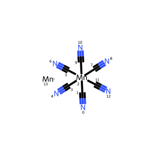 N#[C][Mn]([C]#N)([C]#N)([C]#N)([C]#N)[C]#N.[Mn]